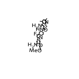 COCCOC1CN(c2cc(F)c3c(n2)CCC(NC(=O)c2sc4nc(C)cc(C)c4c2N)C3)CC1N